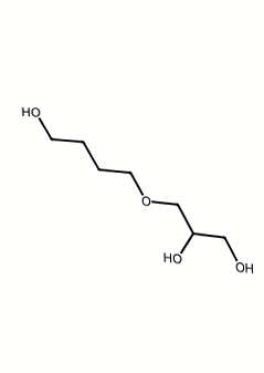 OCCCCOCC(O)CO